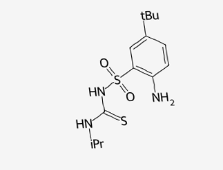 CC(C)NC(=S)NS(=O)(=O)c1cc(C(C)(C)C)ccc1N